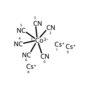 N#[C][Co-3]([C]#N)([C]#N)([C]#N)([C]#N)[C]#N.[Cs+].[Cs+].[Cs+]